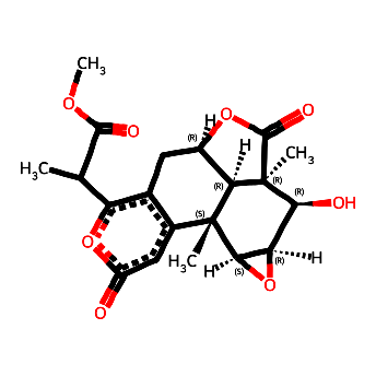 COC(=O)C(C)c1oc(=O)cc2c1C[C@H]1OC(=O)[C@@]3(C)[C@@H](O)[C@H]4O[C@H]4[C@@]2(C)[C@@H]13